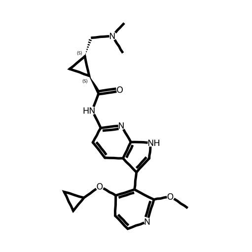 COc1nccc(OC2CC2)c1-c1c[nH]c2nc(NC(=O)[C@H]3C[C@@H]3CN(C)C)ccc12